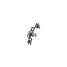 Cn1cc(-c2ccc3cnc(NC(=O)c4ccc5c(c4)CC=N5)cc3c2)cn1